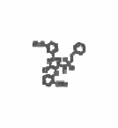 COc1cccc(-c2nc(Cl)c(Oc3ccccc3OC)c(NS(=O)(=O)C=Cc3ccccc3)n2)c1